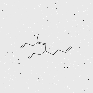 C=CCCC(C=C(C)CC=C)CC=C